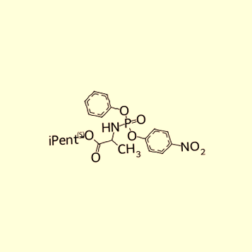 CCC[C@H](C)OC(=O)C(C)NP(=O)(Oc1ccccc1)Oc1ccc([N+](=O)[O-])cc1